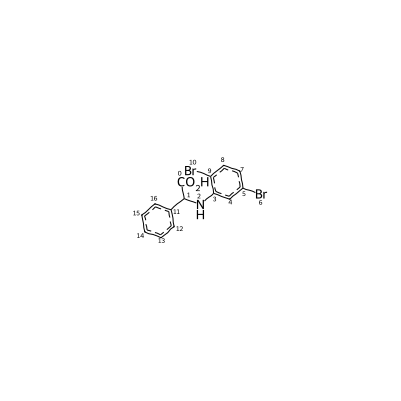 O=C(O)C(Nc1cc(Br)ccc1Br)c1ccccc1